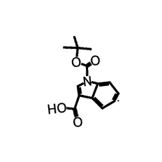 CC(C)(C)OC(=O)n1cc(C(=O)O)c2c[c]ccc21